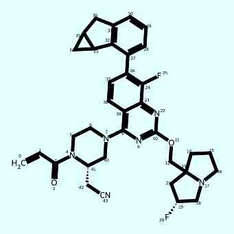 C=CC(=O)N1CCN(c2nc(OCC34CCCN3C[C@H](F)C4)nc3c(F)c(-c4cccc5c4C4CC4C5)ccc23)C[C@@H]1CC#N